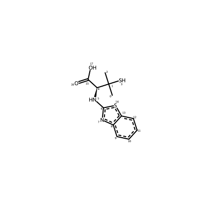 CC(C)(S)[C@@H](Nc1nc2ccccc2s1)C(=O)O